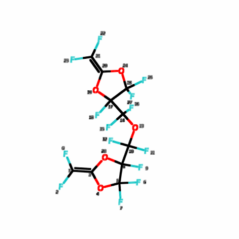 FC(F)=C1OC(F)(F)C(F)(C(F)(F)OC(F)(F)C2(F)OC(=C(F)F)OC2(F)F)O1